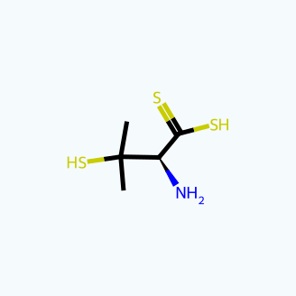 CC(C)(S)[C@H](N)C(=S)S